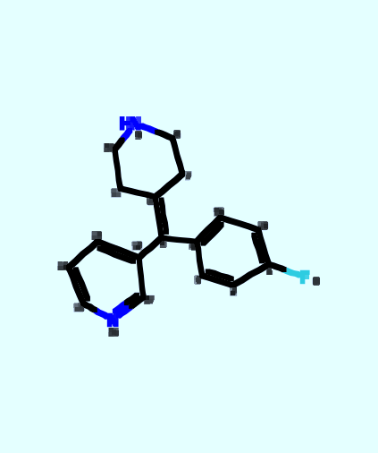 Fc1ccc(C(=C2CCNCC2)c2cccnc2)cc1